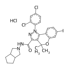 CC1(C)Oc2cc(I)ccc2-c2c1c(C(=O)NN1CC3CCCC3C1)nn2-c1ccc(Cl)cc1Cl.Cl